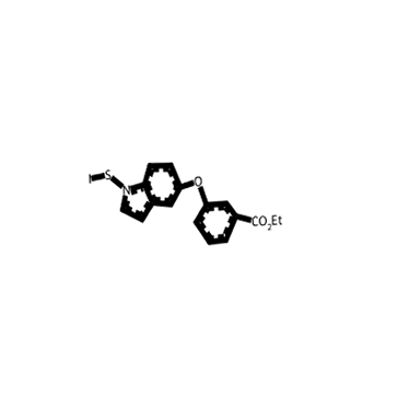 CCOC(=O)c1cccc(Oc2ccc3c(ccn3SI)c2)c1